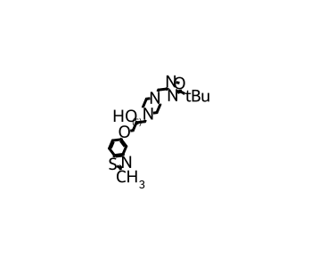 Cc1nc2cc(OC[C@@H](O)CN3CCN(Cc4noc(C(C)(C)C)n4)CC3)ccc2s1